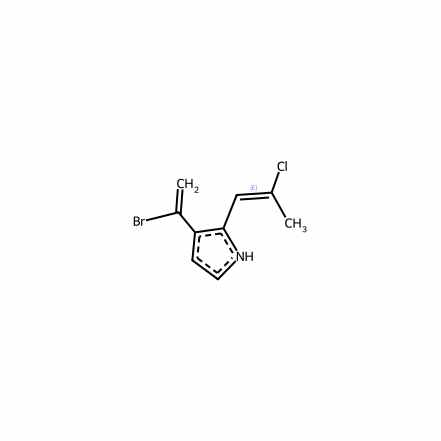 C=C(Br)c1cc[nH]c1/C=C(\C)Cl